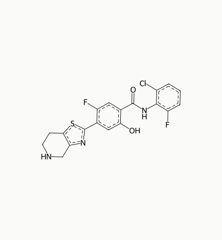 O=C(Nc1c(F)cccc1Cl)c1cc(F)c(-c2nc3c(s2)CCNC3)cc1O